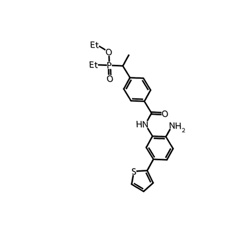 CCOP(=O)(CC)C(C)c1ccc(C(=O)Nc2cc(-c3cccs3)ccc2N)cc1